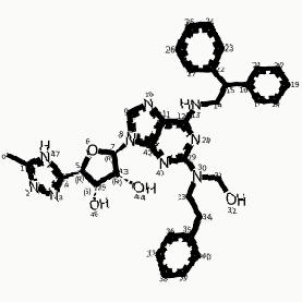 Cc1nnc([C@H]2O[C@@H](n3cnc4c(NCC(c5ccccc5)c5ccccc5)nc(N(CO)CCc5ccccc5)nc43)[C@H](O)[C@@H]2O)[nH]1